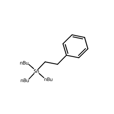 CCC[CH2][Sn]([CH2]CCC)([CH2]CCC)[CH2]Cc1ccccc1